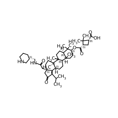 CC(C)C1=C2[C@H]3CC[C@@H]4[C@@]5(C)CC[C@H](OC(=O)[C@H]6C[C@@H](C(=O)O)C6(C)C)C(C)(C)[C@@H]5CC[C@@]4(C)[C@]3(C)CC[C@@]2(CC(=O)NC[C@H]2CCCNC2)CC1=O